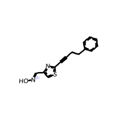 O/N=C/c1csc(C#CCCc2ccccc2)n1